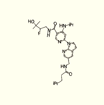 CC(C)CCC(=O)NCc1cnc2c(ccn2-c2cc(NC(C)C)c(C(=O)NCC(F)C(C)(C)O)cn2)c1